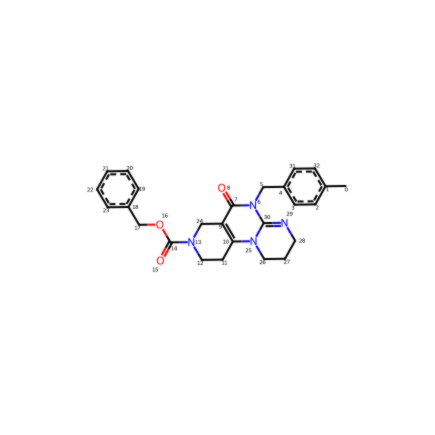 Cc1ccc(CN2C(=O)C3=C(CCN(C(=O)OCc4ccccc4)C3)N3CCCN=C23)cc1